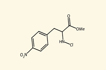 COC(=O)C(Cc1ccc([N+](=O)[O-])cc1)NCl